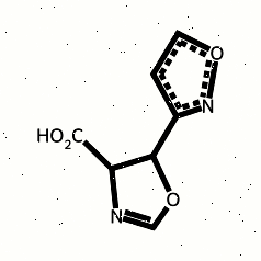 O=C(O)C1N=COC1c1ccon1